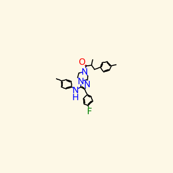 Cc1ccc(CC(C)C(=O)N2CCn3c(nc(-c4ccc(F)cc4)c3Nc3ccc(C)cc3)C2)cc1